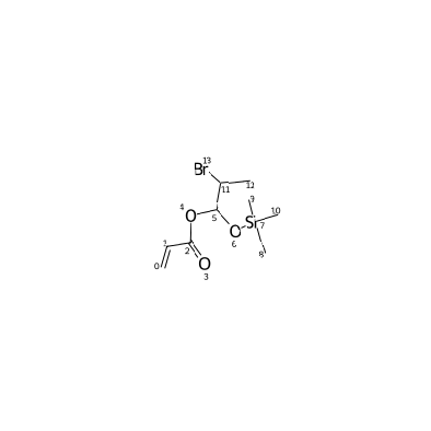 C=CC(=O)OC(O[Si](C)(C)C)C(C)Br